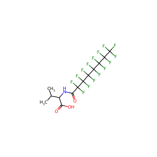 CC(C)C(NC(=O)C(F)(F)C(F)(F)C(F)(F)C(F)(F)C(F)(F)C(F)(F)C(F)(F)F)C(=O)O